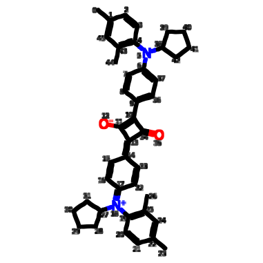 Cc1ccc(N(c2ccc(C3=C([O-])C(=C4C=CC(=[N+](c5ccc(C)cc5C)C5CCCC5)C=C4)C3=O)cc2)C2CCCC2)c(C)c1